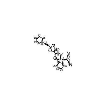 N#CC(C#N)=C1/C(=C/c2cc3oc(C#Cc4ccccc4)nc3o2)C(=O)c2ccccc21